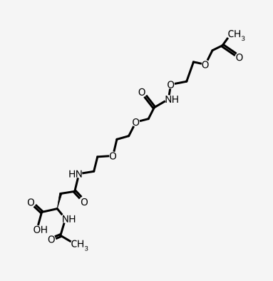 CC(=O)COCCONC(=O)COCCOCCNC(=O)C[C@@H](NC(C)=O)C(=O)O